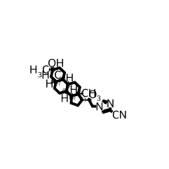 C[C@@]1(O)CC[C@@]2(C)[C@H](CC[C@@H]3[C@@H]2CC[C@]2(C)[C@@H](C(=O)Cn4cnc(C#N)c4)CC[C@@H]32)C1